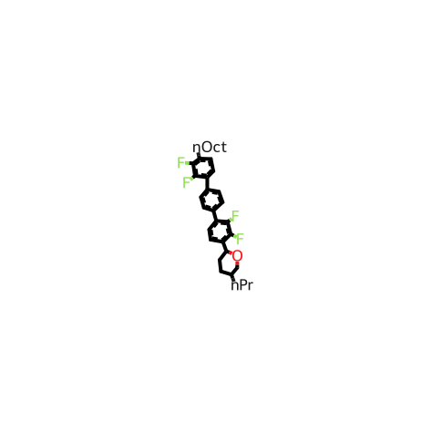 CCCCCCCCc1ccc(-c2ccc(-c3ccc(C4CCC(CCC)CO4)c(F)c3F)cc2)c(F)c1F